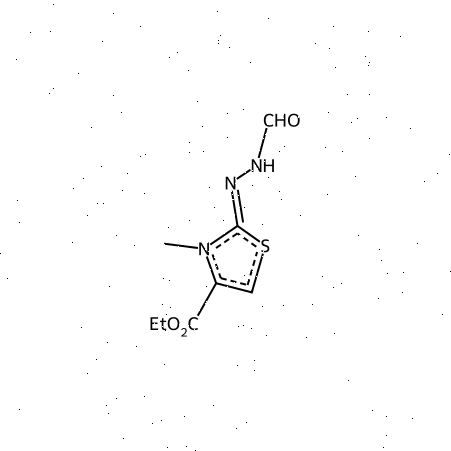 CCOC(=O)c1csc(=NNC=O)n1C